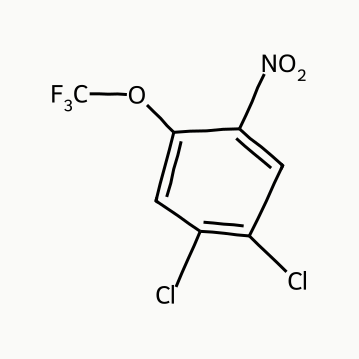 O=[N+]([O-])c1cc(Cl)c(Cl)cc1OC(F)(F)F